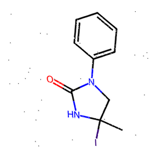 CC1(I)CN(c2ccccc2)C(=O)N1